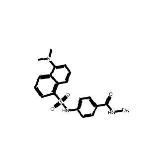 CN(C)c1cccc2c(S(=O)(=O)Nc3ccc(C(=O)NO)cc3)cccc12